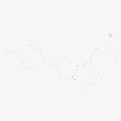 NC(=O)Oc1cccn2cc(-c3ccc(Br)cc3)nc12